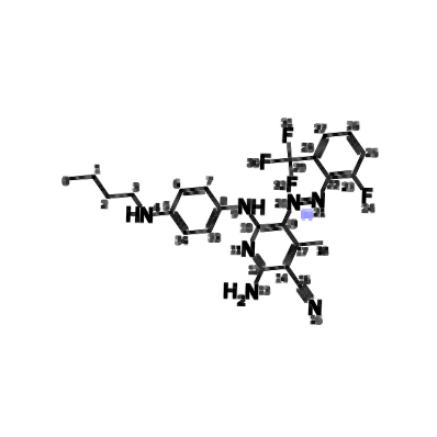 CCCCNc1ccc(Nc2nc(N)c(C#N)c(C)c2/N=N/c2c(F)cccc2C(F)(F)F)cc1